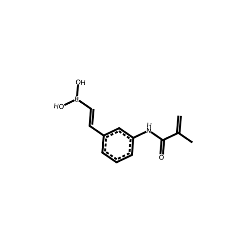 C=C(C)C(=O)Nc1cccc(C=CB(O)O)c1